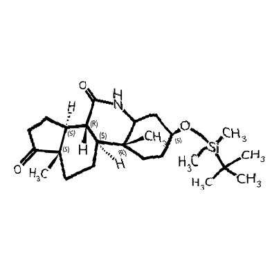 CC(C)(C)[Si](C)(C)O[C@H]1CC[C@@]2(C)C(C1)NC(=O)[C@@H]1[C@@H]2CC[C@]2(C)C(=O)CC[C@@H]12